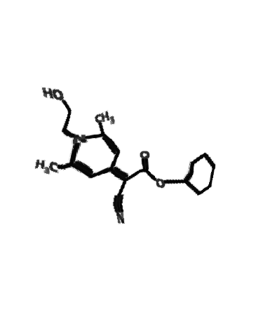 CC1=CC(=C(C#N)C(=O)OC2CCCCC2)C=C(C)N1CCO